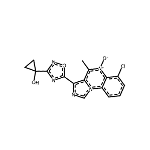 Cc1c2c(-c3nc(C4(O)CC4)no3)ncn2c2cccc(Cl)c2[n+]1[O-]